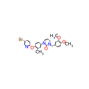 COc1ccc(CN2CC=CN(c3ccc(Oc4ccc(Br)cn4)c(C)c3)C2=O)cc1OC